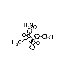 CCCCC(Sc1nc2ccccc2c(=O)n1-c1cccc(-c2ccc(Cl)cc2)c1)C(=O)N1CCC(C(N)=O)CC1